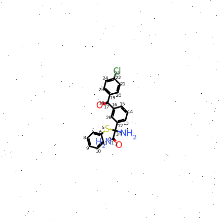 NC(=O)C(N)(Sc1ccccc1)c1cccc(C(=O)c2ccc(Cl)cc2)c1